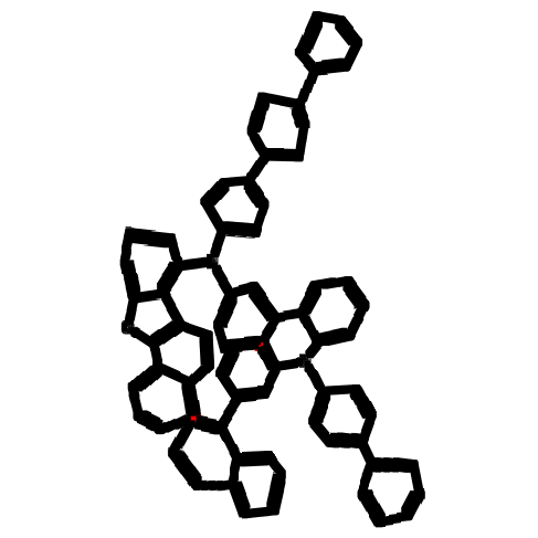 c1ccc(-c2ccc(-c3ccc(N(c4cccc(-c5ccccc5N(c5ccc(-c6ccccc6)cc5)c5cccc(-c6cccc7ccccc67)c5)c4)c4cccc5oc6c7ccccc7ccc6c45)cc3)cc2)cc1